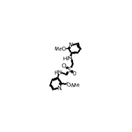 COc1ncccc1NCS(=O)(=O)CNc1cccnc1OC